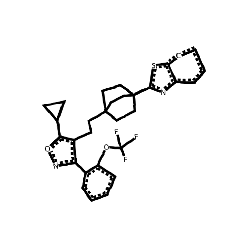 FC(F)(F)Oc1ccccc1-c1noc(C2CC2)c1CCC12CCC(c3nc4ccccc4s3)(CC1)CC2